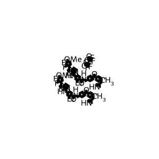 CCc1cc(Nc2nccn3c(-c4ccc(OC)c(F)c4F)cnc23)ccc1C(=O)NCC1CCN(C(=O)C2CC[N+](C)(CC3CNC3)CC2)CC1.CCc1cc(Nc2nccn3c(-c4ccc(OC)c(F)c4F)cnc23)ccc1C(=O)NCC1CCN(C(=O)C2CC[N+](C)(CC3CNC3)CC2)CC1.O=C([O-])C(F)(F)F.O=C([O-])C(F)(F)F